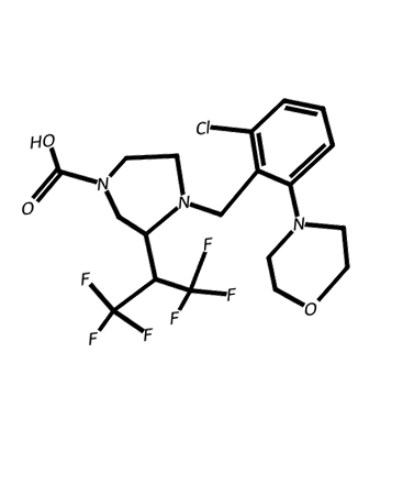 O=C(O)N1CCN(Cc2c(Cl)cccc2N2CCOCC2)C(C(C(F)(F)F)C(F)(F)F)C1